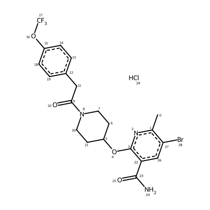 Cc1nc(OC2CCN(C(=O)Cc3ccc(OC(F)(F)F)cc3)CC2)c(C(N)=O)cc1Br.Cl